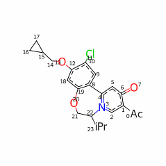 CC(=O)c1cn2c(cc1=O)-c1cc(Cl)c(OCC3CC3)cc1OCC2C(C)C